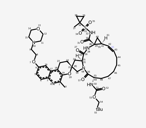 Cc1nc2ccc(OCCN3CCOCC3)cc2c2c1O[C@]1(CC2)C[C@H]2C(=O)N[C@]3(C(=O)NS(=O)(=O)C4(C)CC4)C[C@H]3/C=C\CCCCC[C@H](NC(=O)OCC(C)(C)C)C(=O)N2C1